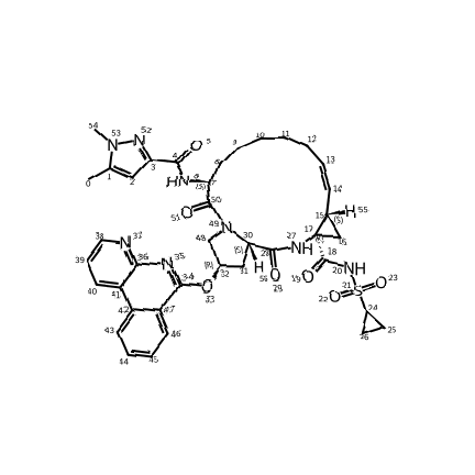 Cc1cc(C(=O)N[C@H]2CCCCCC=C[C@@H]3C[C@@]3(C(=O)NS(=O)(=O)C3CC3)NC(=O)[C@@H]3C[C@@H](Oc4nc5ncccc5c5ccccc45)CN3C2=O)nn1C